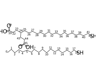 CCCCCCCCCCCCCCCCCCS.O=C(O)CCC(CCCCCCCCCCCCCCCCCS)CCC(=O)O